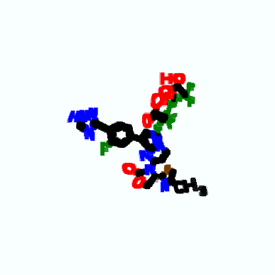 Cc1csc([C@@H]2COC(=O)N2c2ccn3ncc(-c4ccc(-c5nc[nH]n5)c(F)c4)c3n2)n1.O=C(O)C(F)(F)F.O=C(O)C(F)(F)F